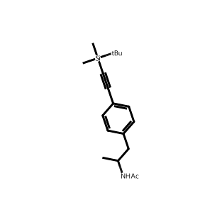 CC(=O)NC(C)Cc1ccc(C#C[Si](C)(C)C(C)(C)C)cc1